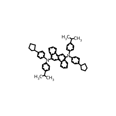 CC(C)c1ccc(N(c2ccc(C3CCCC3)cc2)c2cc3c4ccccc4c(N(c4ccc(C(C)C)cc4)c4ccc(C5CCCC5)cc4)cc3c3ccccc23)cc1